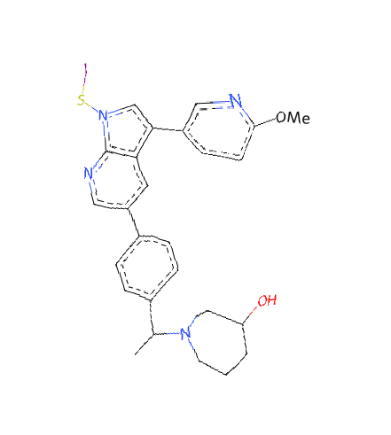 COc1ccc(-c2cn(SI)c3ncc(-c4ccc(C(C)N5CCCC(O)C5)cc4)cc23)cn1